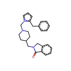 O=C1c2ccccc2CN1CC1CCN(Cn2cccc2Cc2ccccc2)CC1